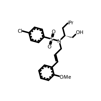 COc1ccccc1C=CCN([C@@H](CO)CC(C)C)S(=O)(=O)c1ccc(Cl)cc1